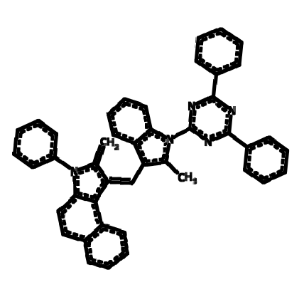 C=c1/c(=C\c2c(C)n(-c3nc(-c4ccccc4)nc(-c4ccccc4)n3)c3ccccc23)c2c3ccccc3ccc2n1-c1ccccc1